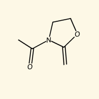 C=C1OCCN1C(C)=O